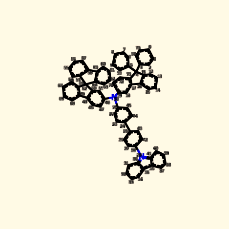 c1ccc(C2(c3ccccc3)c3ccccc3-c3cc(N(c4ccc(-c5ccc(-n6c7ccccc7c7ccccc76)cc5)cc4)c4ccc5c(c4)C4(c6ccccc6-c6ccccc64)c4ccccc4-5)ccc32)cc1